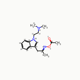 CC(=O)ON=C(C)Cc1cn(CCN(C)C)c2ccccc12